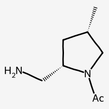 CC(=O)N1C[C@@H](C)C[C@H]1CN